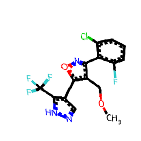 COCc1c(-c2c(F)cccc2Cl)noc1-c1cn[nH]c1C(F)(F)F